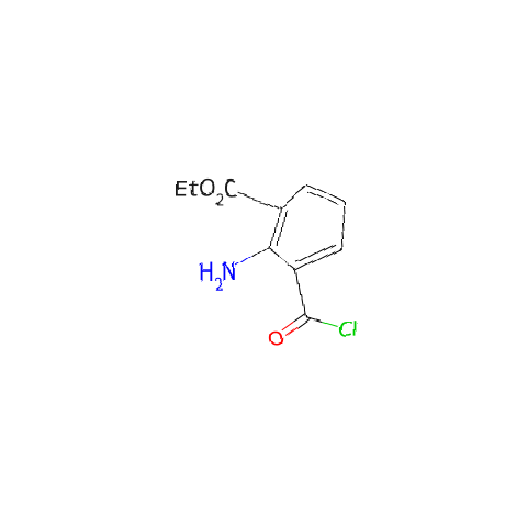 CCOC(=O)c1cccc(C(=O)Cl)c1N